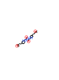 CC1(C)OCC1CCC1=CC=C(CC2NC(=O)C(Cc3ccc(CCC4OC4(C)C)cc3)NC2=O)CC=C1